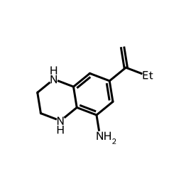 C=C(CC)c1cc(N)c2c(c1)NCCN2